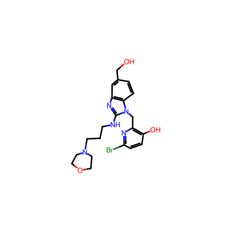 OCc1ccc2c(c1)nc(NCCCN1CCOCC1)n2Cc1nc(Br)ccc1O